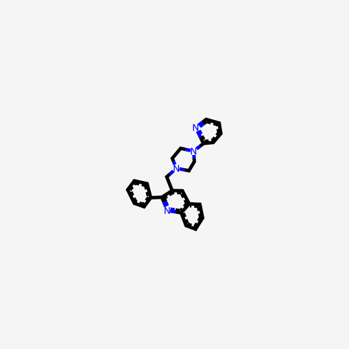 c1ccc(-c2nc3ccccc3cc2CN2CCN(c3ccccn3)CC2)cc1